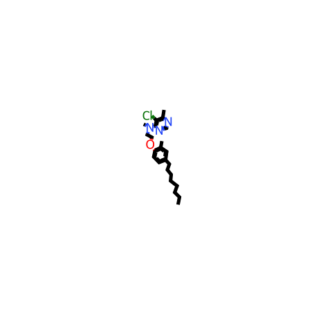 CCCCCCCCc1ccc(OCCN(C)c2ncnc(C)c2Cl)c(C)c1